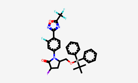 CC(C)(C)[Si](OCC1CC(I)C(=O)N1c1ccc(-c2noc(C(F)(F)F)n2)c(F)c1)(c1ccccc1)c1ccccc1